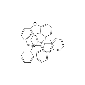 C1=CC(C2(c3ccccc3)c3ccccc3-c3ccccc32)C2C(=C1)Oc1cccc(N(c3ccccc3)c3ccccc3)c12